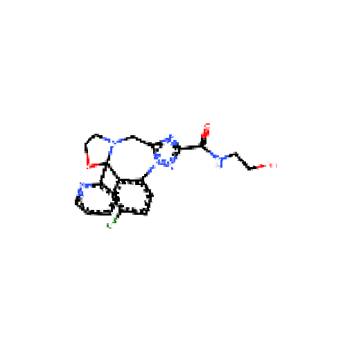 O=C(NCCO)c1nc2n(n1)-c1ccc(Cl)cc1C1(c3ccccn3)OCCN1C2